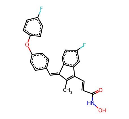 CC1=C(/C=C/C(=O)NO)c2cc(F)ccc2/C1=C\c1ccc(Oc2ccc(F)cc2)cc1